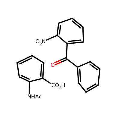 CC(=O)Nc1ccccc1C(=O)O.O=C(c1ccccc1)c1ccccc1[N+](=O)[O-]